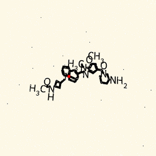 COc1cc(C(=O)N2CCC[C@@H](N)C2)cc2nc(C3=Cc4cccc5c4CCC3CCN5C3CC(NC(C)=O)C3)n(C)c12